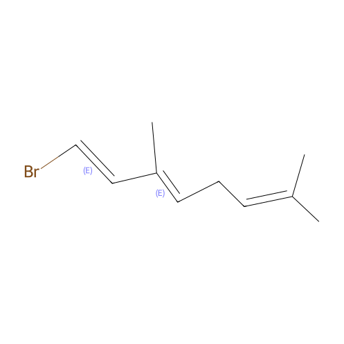 CC(C)=CC/C=C(C)/C=C/Br